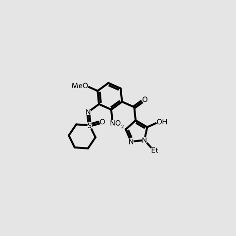 CCn1ncc(C(=O)c2ccc(OC)c(N=S3(=O)CCCCC3)c2[N+](=O)[O-])c1O